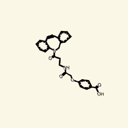 O=C(COc1ccc(C(=O)O)cc1)NCCC(=O)N1Cc2ccccc2C#Cc2ccccc21